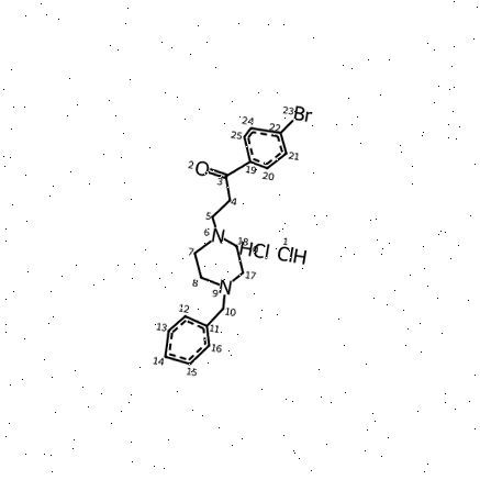 Cl.Cl.O=C(CCN1CCN(Cc2ccccc2)CC1)c1ccc(Br)cc1